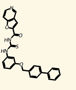 O=C(NC(=S)Nc1cccc(OCc2ccc(-c3ccccc3)cc2)c1)c1cc2cnccc2o1